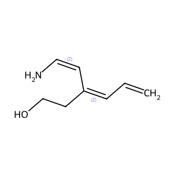 C=C/C=C(\C=C/N)CCO